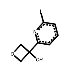 OC1(c2cccc(I)n2)COC1